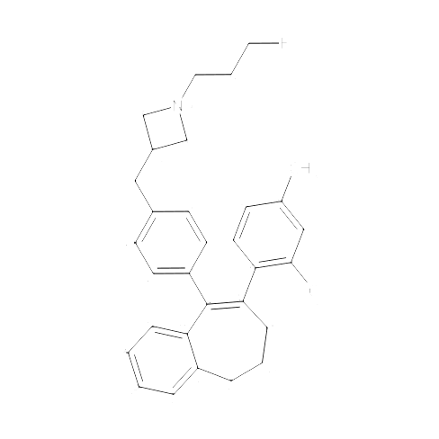 Cc1ccc(C2=C(c3ccc(CC4CN(CCCF)C4)cc3)c3ccccc3CCC2)c(Cl)c1